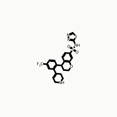 O=S(=O)(Nc1nncs1)c1ccc2c(c1)OCCC2c1ccc(C(F)(F)F)cc1C1=CCNCC1